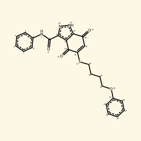 O=C(Nc1ccccc1)c1n[nH]c2c1C(=O)C(SCCCCOc1ccccc1)=CC2=O